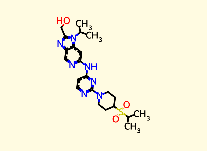 CC(C)n1c(CO)nc2cnc(Nc3ccnc(N4CCC(S(=O)(=O)C(C)C)CC4)n3)cc21